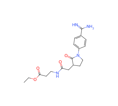 CCOC(=O)CCNC(=O)CC1CCN(c2ccc(C(=N)N)cc2)C1=O